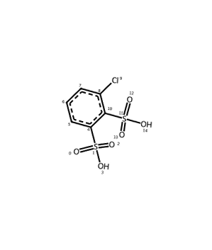 O=S(=O)(O)c1cccc(Cl)c1S(=O)(=O)O